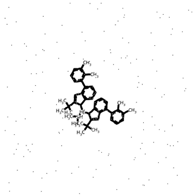 Cc1cccc(-c2cccc3c2C=C(C(C)(C)C)[CH]3[Hf]([CH]2C(C(C)(C)C)=Cc3c(-c4cccc(C)c4C)cccc32)[SiH](C)C)c1C